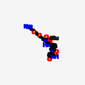 CC(C)(C)OC(=O)N(CCCOCCOCCN=[N+]=[N-])CC(=O)Nc1cccc2c1CN(C1CCC(=O)NC1=O)C2=O